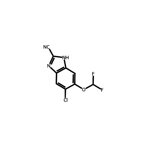 N#Cc1nc2cc(Cl)c(OC(F)F)cc2[nH]1